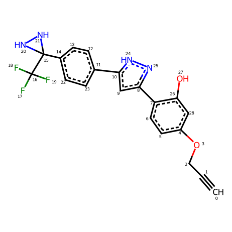 C#CCOc1ccc(-c2cc(-c3ccc(C4(C(F)(F)F)NN4)cc3)[nH]n2)c(O)c1